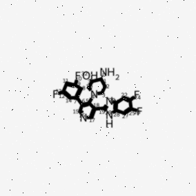 N[C@@H]1CCN(c2c(-c3cc(F)cc(F)c3)cncc2-c2nc3cc(F)c(F)cc3[nH]2)C[C@@H]1O